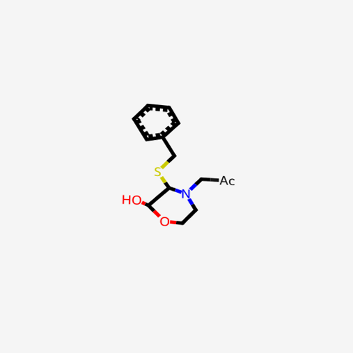 CC(=O)CN1CCOC(O)C1SCc1ccccc1